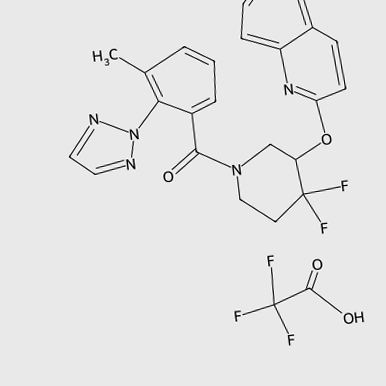 Cc1cccc(C(=O)N2CCC(F)(F)C(Oc3ccc4ccccc4n3)C2)c1-n1nccn1.O=C(O)C(F)(F)F